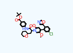 COc1cn(C(CC2CCCCO2)C(=O)Nc2ccc(C(=O)OC(C)(C)C)cc2)c(=O)cc1-c1cc(Cl)ccc1-c1cnco1